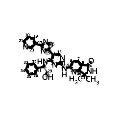 CC1(C)NC(=O)c2ccc(Nc3ncc(-c4nc(-c5cccnc5)no4)c(N[C@H](CO)c4ccccc4)n3)nc21